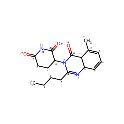 CCCCC1=NC2C=CC=C(C)C2C(=O)N1C1CCC(=O)NC1=O